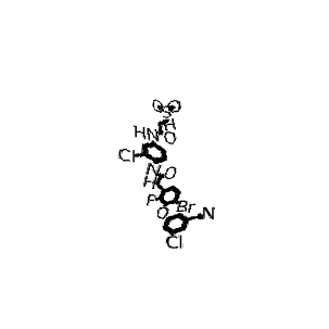 N#Cc1cc(Cl)cc(Oc2c(Br)ccc(CC(=O)Nc3ccc(NC(=O)CC[SH](=O)=O)cc3Cl)c2F)c1